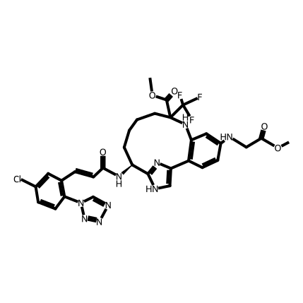 COC(=O)CNc1ccc2c(c1)NC(C(=O)OC)(C(F)(F)F)CCCC[C@H](NC(=O)/C=C/c1cc(Cl)ccc1-n1cnnn1)c1nc-2c[nH]1